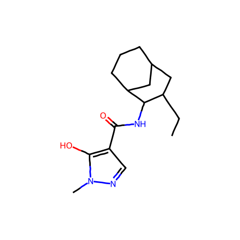 CCC1CC2CCCC(C2)C1NC(=O)c1cnn(C)c1O